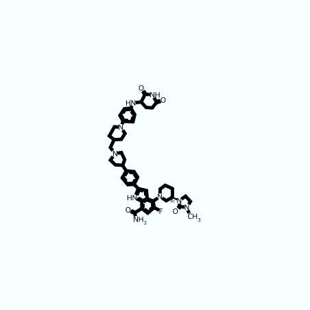 CN1CCN([C@@H]2CCCN(c3c(F)cc(C(N)=O)c4[nH]c(-c5ccc(C6CCN(CC7CCN(c8ccc(NC9CCC(=O)NC9=O)cc8)CC7)CC6)cc5)cc34)C2)C1=O